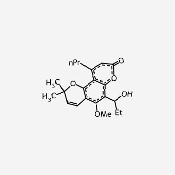 CCCc1cc(=O)oc2c(C(O)CC)c(OC)c3c(c12)OC(C)(C)C=C3